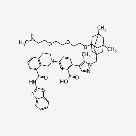 CNCCOCCOCCOC12CC3(C)CC(C)(CC(Cn4ncc(-c5ccc(N6CCc7cccc(C(=O)Nc8nc9ccccc9s8)c7C6)nc5C(=O)O)c4C)(C3)C1)C2